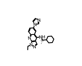 CCn1ncc2c(N[C@@H](C)C3CCCCC3)c3cc(-n4ccnc4)ccc3nc21